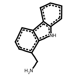 NCc1cccc2c1[nH]c1ccccc12